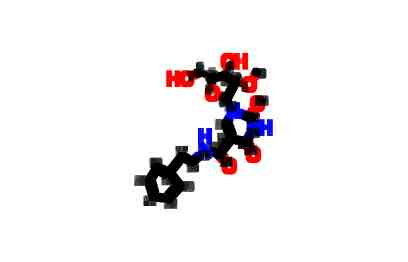 CO[C@@H]1[C@@H](O)[C@@H](CO)O[C@H]1n1cc(C(=O)NCCc2ccccc2)c(=O)[nH]c1=O